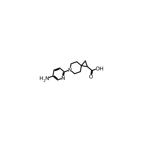 Nc1ccc(N2CCC3(CC2)CC3C(=O)O)nc1